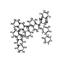 c1ccc(-c2ccc(-c3nc4ccccc4nc3-c3cccc4c(-n5c6cc7ccccc7cc6c6c(-n7c8ccccc8c8cc9ccccc9cc87)cccc65)cccc34)cc2)cc1